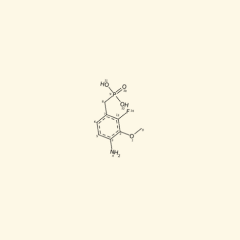 COc1c(N)ccc(CP(=O)(O)O)c1F